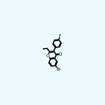 CCc1oc2ccc(Br)cc2c(=O)c1-c1ccc(F)cc1